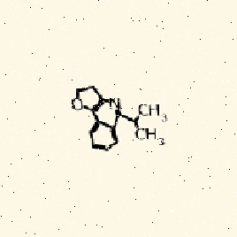 CC(C)c1nc2c(c3ccccc13)OCC2